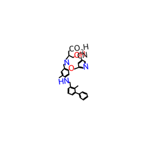 Cc1cc(C/N=C/C(CO)CC(=O)O)c(OCc2cncc(C#N)c2)cc1NCc1cccc(-c2ccccc2)c1C